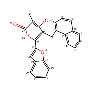 Cc1c(O)c(Cc2cccc3ccccc23)c(-c2cc3ccccc3o2)oc1=O